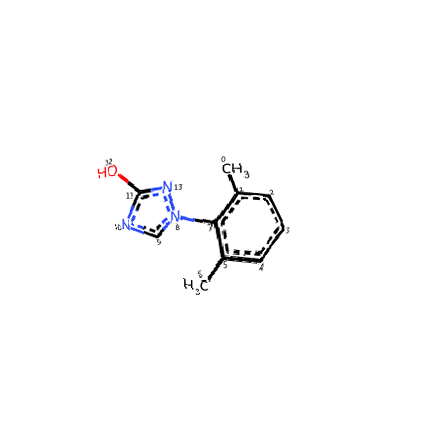 Cc1cccc(C)c1-n1cnc(O)n1